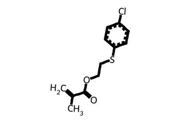 C=C(C)C(=O)OCCSc1ccc(Cl)cc1